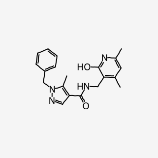 Cc1cc(C)c(CNC(=O)c2cnn(Cc3ccccc3)c2C)c(O)n1